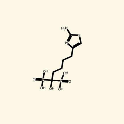 Nc1nc(CCCCC(O)(P(=O)(O)O)P(=O)(O)O)cs1